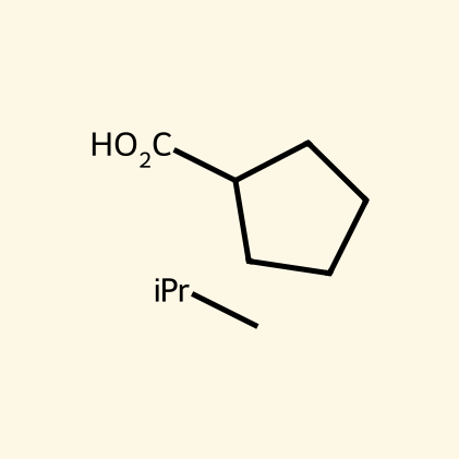 CC(C)C.O=C(O)C1CCCC1